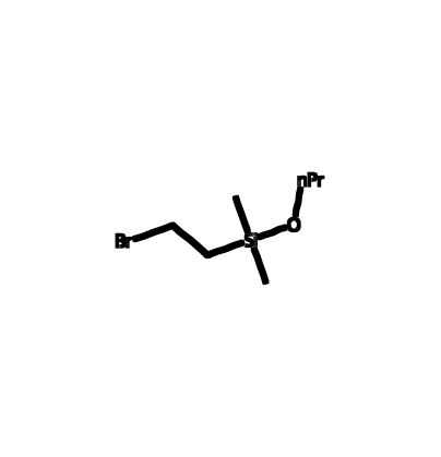 CCCO[Si](C)(C)CCBr